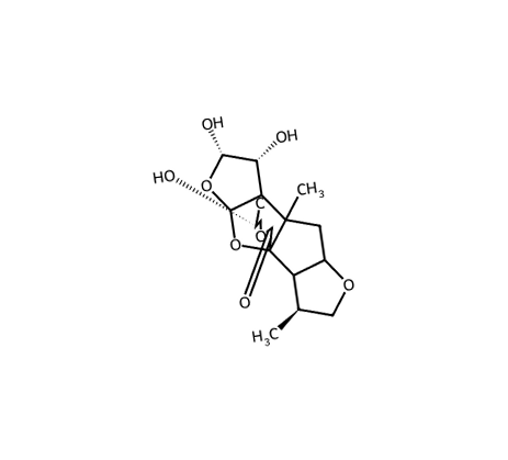 C[C@@H]1COC2CC3(C)C4(OC5O[C@H](O)[C@H](O)C53C[C@@H](O)COC4=O)C21